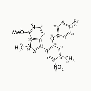 COc1nccc2c(-c3cc([N+](=O)[O-])c(C)cc3Oc3ccc(Br)cc3)cn(C)c12